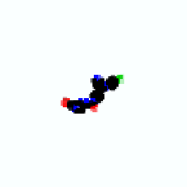 COCCN1CCC(CNC(=O)N2CCC(c3cn(-c4ccc(Cl)cc4)c4cnccc34)CC2)CC1